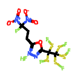 F.O=[N+]([O-])C(F)(CCc1nnc(C(SF)(SF)C(SF)(SF)SF)o1)[N+](=O)[O-]